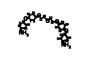 Nc1ccc(Oc2ccc(OCCOCCOc3ccc(Oc4ccc(N)cc4)cc3)cc2)cc1